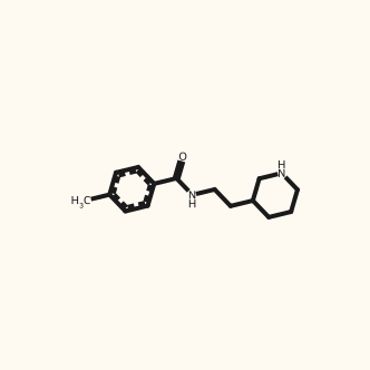 Cc1ccc(C(=O)NCCC2CCCNC2)cc1